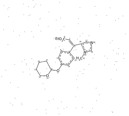 CCOC(=O)/C=C(\c1ccc(OC2CCCCO2)cc1)c1cncn1C